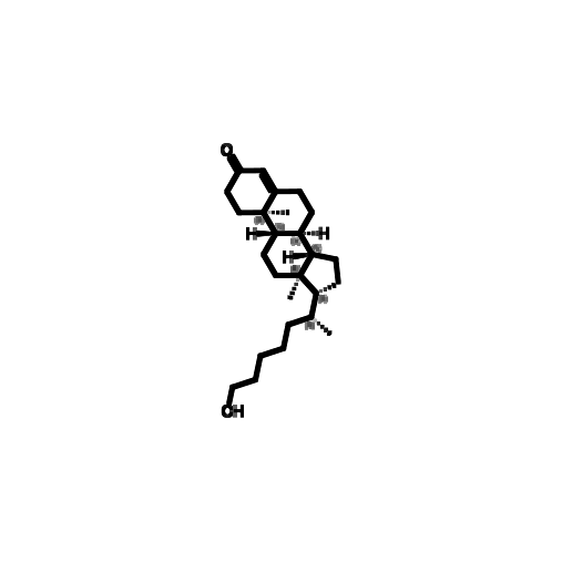 C[C@H](CCCCCO)[C@H]1CC[C@H]2[C@@H]3CCC4=CC(=O)CC[C@]4(C)[C@H]3CC[C@]12C